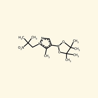 Cc1c(B2OC(C)(C)C(C)(C)O2)cnn1CC(C)(C)[N+](=O)[O-]